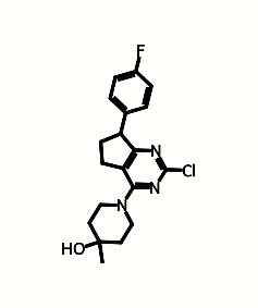 CC1(O)CCN(c2nc(Cl)nc3c2CCC3c2ccc(F)cc2)CC1